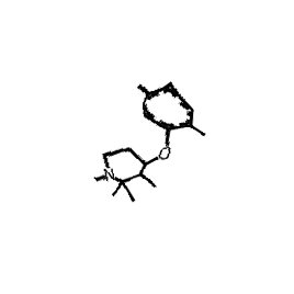 Cc1ccc(C)c(OC2CCN(C)C(C)(C)C2C)c1